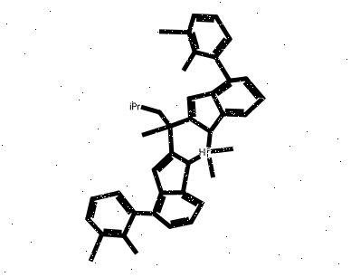 Cc1cccc(-c2cccc3c2C=C2[CH]3[Hf]([CH3])([CH3])[CH]3C(=Cc4c(-c5cccc(C)c5C)cccc43)C2(C)CC(C)C)c1C